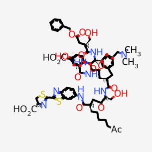 CC(=O)CCCCC[C@H](CC(=O)[C@H](CO)NC(=O)[C@@H](CC(=O)C(Cc1ccc(O)cc1)NC(=O)[C@H](CCC(=O)O)NC(=O)[C@H](CCCCN(C)C)NC(=O)[C@H](CO)CC(=O)OCc1ccccc1)Cc1ccccc1)C(=O)Nc1ccc2nc(C3=N[C@@H](C(=O)O)CS3)sc2c1